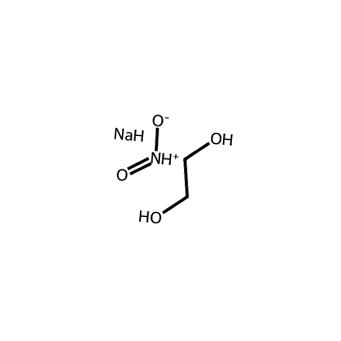 O=[NH+][O-].OCCO.[NaH]